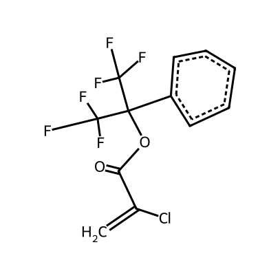 C=C(Cl)C(=O)OC(c1ccccc1)(C(F)(F)F)C(F)(F)F